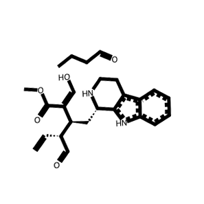 C=C[C@@H](C=O)[C@H](C[C@@H]1NCCc2c1[nH]c1ccccc21)/C(=C/O)C(=O)OC.CCCC=O